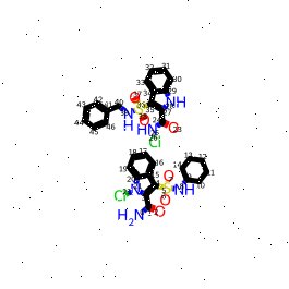 NC(=O)c1c(S(=O)(=O)NC2CCCCC2)c2ccccc2n1Cl.O=C(NCl)c1[nH]c2ccccc2c1S(=O)(=O)NCc1ccccc1